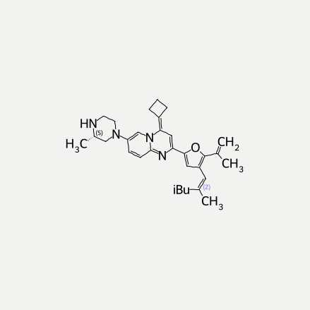 C=C(C)c1oc(C2=CC(=C3CCC3)N3C=C(N4CCN[C@@H](C)C4)C=CC3=N2)cc1/C=C(/C)C(C)CC